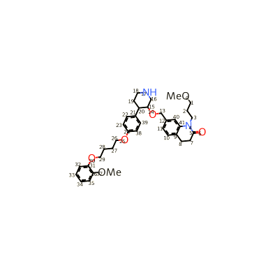 COCCCN1C(=O)CCc2ccc(COC3CNCCC3c3ccc(OCCCCOc4ccccc4OC)cc3)cc21